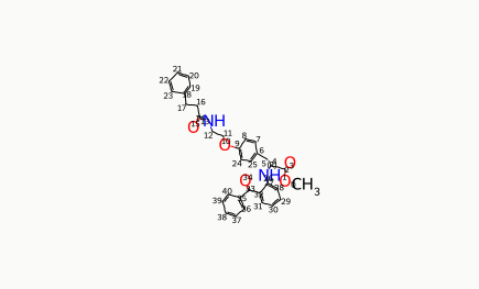 COC(=O)[C@@H](Cc1ccc(OCCNC(=O)CCc2ccccc2)cc1)Nc1ccccc1C(=O)c1ccccc1